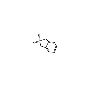 N=S1(=O)Cc2ccccc2C1